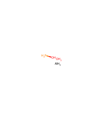 O.OP.[AlH3]